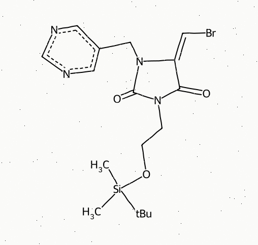 CC(C)(C)[Si](C)(C)OCCN1C(=O)C(=CBr)N(Cc2cncnc2)C1=O